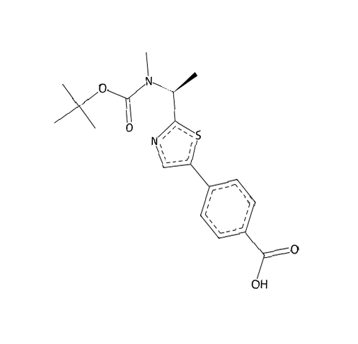 C[C@@H](c1ncc(-c2ccc(C(=O)O)cc2)s1)N(C)C(=O)OC(C)(C)C